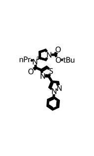 CCCN(C(=O)c1csc(-c2cnn(-c3ccccc3)c2)n1)[C@@H]1CCN(C(=O)OC(C)(C)C)C1